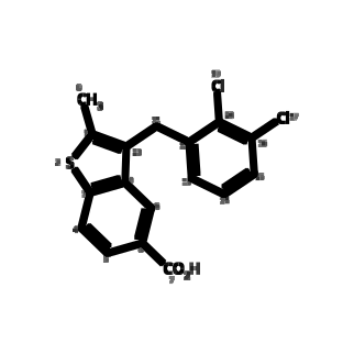 Cc1sc2ccc(C(=O)O)cc2c1Cc1cccc(Cl)c1Cl